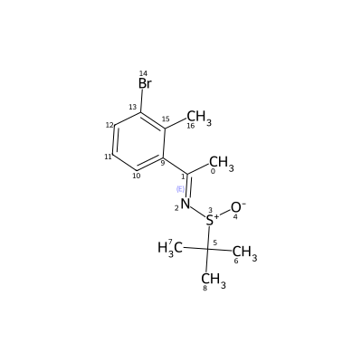 C/C(=N\[S+]([O-])C(C)(C)C)c1cccc(Br)c1C